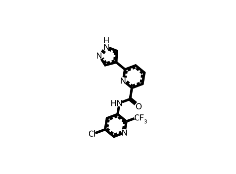 O=C(Nc1cc(Cl)cnc1C(F)(F)F)c1cccc(-c2cn[nH]c2)n1